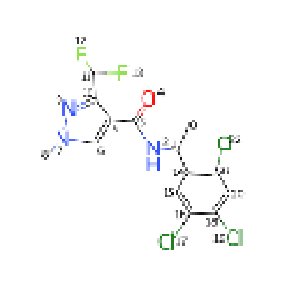 CC(NC(=O)c1cn(C)nc1C(F)F)c1cc(Cl)c(Cl)cc1Cl